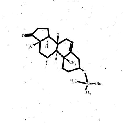 CC(C)(C)[Si](C)(C)O[C@H]1CC[C@@]2(C)C(=CC[C@@H]3[C@@H]2[C@H](I)C[C@]2(C)C(=O)CC[C@@H]32)C1